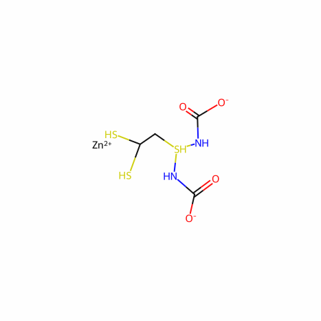 O=C([O-])N[SH](CC(S)S)NC(=O)[O-].[Zn+2]